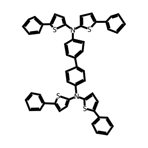 c1ccc(-c2ccc(N(c3ccc(-c4ccc(N(c5ccc(-c6ccccc6)s5)c5ccc(-c6ccccc6)s5)cc4)cc3)c3ccc(-c4ccccc4)s3)s2)cc1